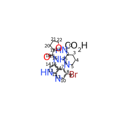 O=C(O)NC1CCCN(c2c(Br)cnc3[nH]cc(NC(=O)C4CCCO4)c23)C1